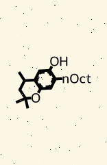 CCCCCCCCc1cc2c(cc1O)C(C)CC(C)(C)O2